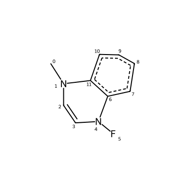 CN1C=CN(F)c2ccccc21